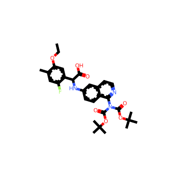 CCOc1cc(C(Nc2ccc3c(N(C(=O)OC(C)(C)C)C(=O)OC(C)(C)C)nccc3c2)C(=O)O)c(F)cc1C